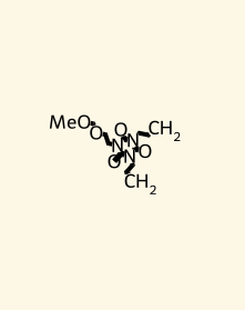 C=CCn1c(=O)n(CC=C)c(=O)n(CCOCOC)c1=O